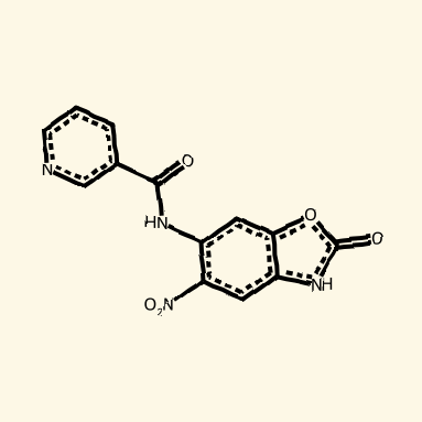 O=C(Nc1cc2oc(=O)[nH]c2cc1[N+](=O)[O-])c1cccnc1